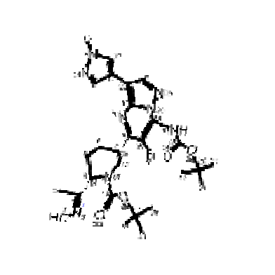 C/C(=N\O)[C@@H]1CC[C@H](c2nc3c(-c4cnn(C)c4)cnn3c(NC(=O)OC(C)(C)C)c2Br)CN1C(=O)OC(C)(C)C